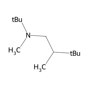 CC(CN(C)C(C)(C)C)C(C)(C)C